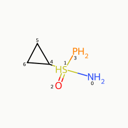 N[SH](=O)(P)C1CC1